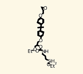 CCOCC(COc1ccc(C(C)(C)c2ccc(OCC3CO3)cc2)cc1)OC(=O)NCCC[SiH2]OCC